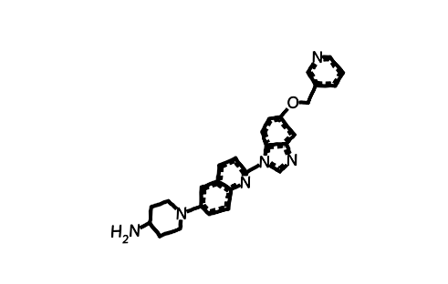 NC1CCN(c2ccc3nc(-n4cnc5cc(OCc6cccnc6)ccc54)ccc3c2)CC1